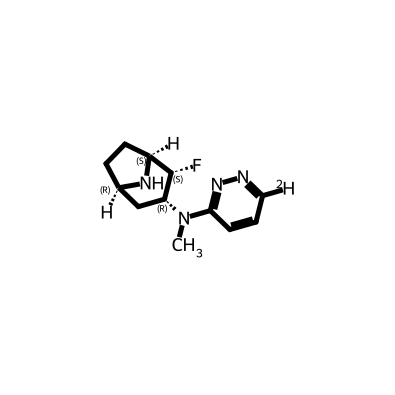 [2H]c1ccc(N(C)[C@@H]2C[C@H]3CC[C@H](N3)[C@@H]2F)nn1